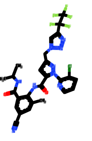 Cc1cc(C#N)cc(C(=O)NC(C)C)c1NC(=O)c1cc(Cn2cc(C(F)(F)C(F)(F)F)nn2)nn1-c1ncccc1Cl